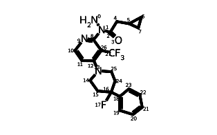 NN(C(=O)CC1CC1)c1nccc(N2CCC(F)(c3ccccc3)CC2)c1C(F)(F)F